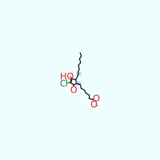 CCCCCC/C=C/C1C(O)=C(Cl)C(=O)/C1=C\CCCCCC(=O)OC